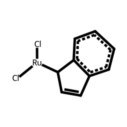 [Cl][Ru]([Cl])[CH]1C=Cc2ccccc21